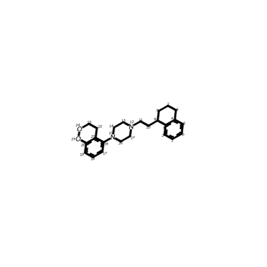 c1ccc2c(c1)CCCC2CCN1CCN(c2cccc3c2CCOO3)CC1